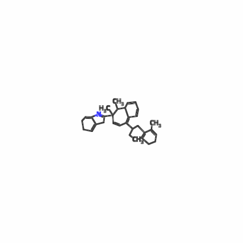 CCC(CC1=CCCC=C1C)C1=C2C=CC=CC2C(C)C(C)(C2=NC3=CCCC=C3C2)C=C1